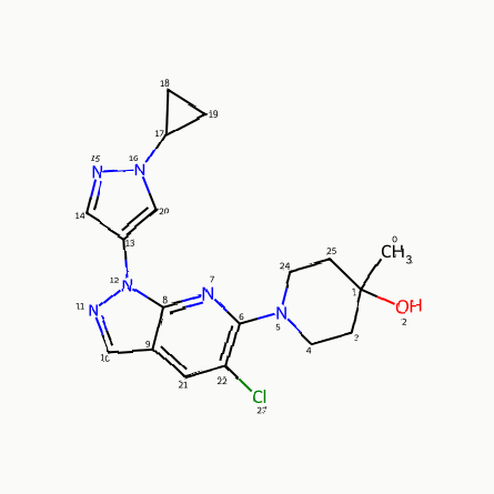 CC1(O)CCN(c2nc3c(cnn3-c3cnn(C4CC4)c3)cc2Cl)CC1